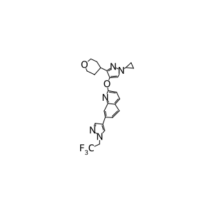 FC(F)(F)Cn1cc(-c2ccc3ccc(Oc4cn(C5CC5)nc4C4CCOCC4)nc3c2)cn1